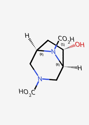 O=C(O)N1C[C@H]2C[C@H](O)[C@@H](C1)N2C(=O)O